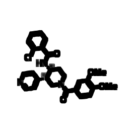 COc1ccc(C(=O)N2CC[C@@H](NC(=O)c3ccccc3Cl)[C@@H](c3ccncc3)C2)cc1OC